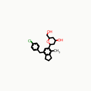 Cc1c(C2CC(O)CC(CO)O2)cc(Cc2ccc(Cl)cc2)c2c1CCC2